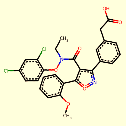 CCN(Oc1ccc(Cl)cc1Cl)C(=O)c1c(-c2cccc(CC(=O)O)c2)noc1-c1ccccc1OC